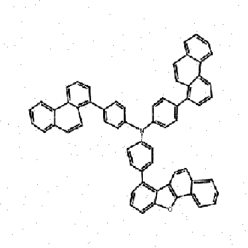 c1ccc2c(c1)ccc1c(-c3ccc(N(c4ccc(-c5cccc6c5ccc5ccccc56)cc4)c4ccc(-c5cccc6oc7c8ccccc8ccc7c56)cc4)cc3)cccc12